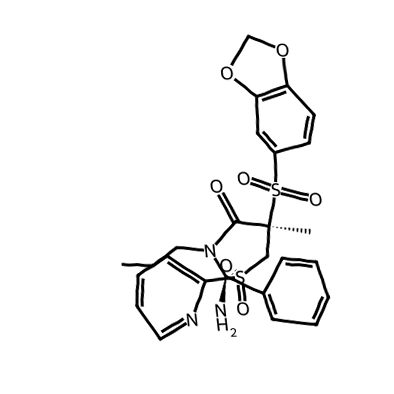 CCCN(C(=O)[C@](C)(CS(=O)(=O)c1ccccn1)S(=O)(=O)c1ccc2c(c1)OCO2)[C@H](N)c1ccccc1